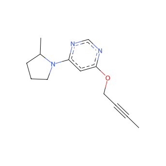 CC#CCOc1cc(N2CCCC2C)ncn1